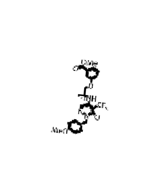 COC(=O)c1cccc(OC[C@H](C)Nc2cnn(Cc3ccc(OC)cc3)c(=O)c2C(F)(F)F)c1